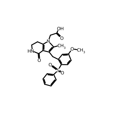 COc1ccc(S(=O)(=O)c2ccccc2)c(Cc2c3c(n(CC(=O)O)c2C)CCNC3=O)c1